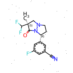 C[C@]1(C(F)F)CN2CC[C@H](c3cc(F)cc(C#N)c3)N2C1=O